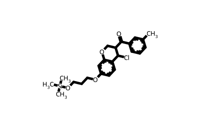 Cc1cccc(C(=O)C2COc3cc(OCCCO[Si](C)(C)C)ccc3C2Cl)c1